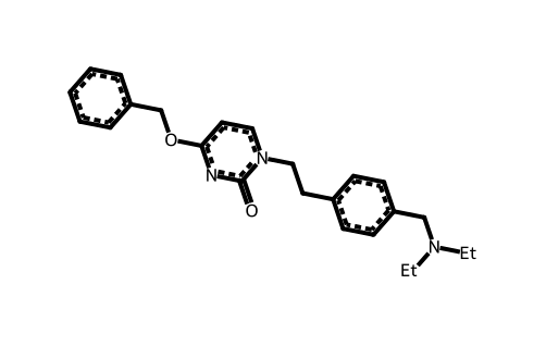 CCN(CC)Cc1ccc(CCn2ccc(OCc3ccccc3)nc2=O)cc1